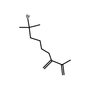 C=C(C)C(=C)CCCCC(C)(C)Br